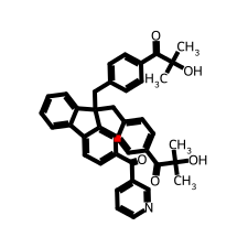 CC(C)(O)C(=O)c1ccc(CC2(Cc3ccc(C(=O)C(C)(C)O)cc3)c3ccccc3-c3ccc(C(=O)c4cccnc4)cc32)cc1